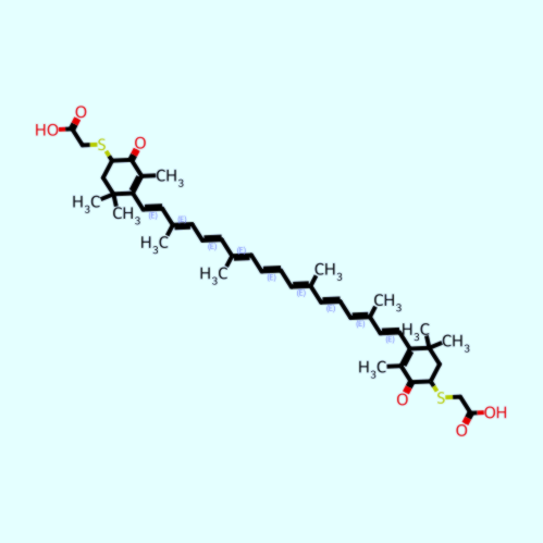 CC1=C(/C=C/C(C)=C/C=C/C(C)=C/C=C/C=C(C)/C=C/C=C(C)/C=C/C2=C(C)C(=O)C(SCC(=O)O)CC2(C)C)C(C)(C)CC(SCC(=O)O)C1=O